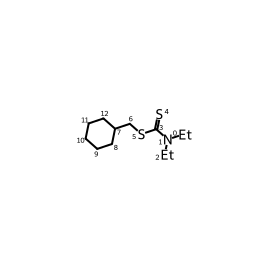 CCN(CC)C(=S)SCC1CCCCC1